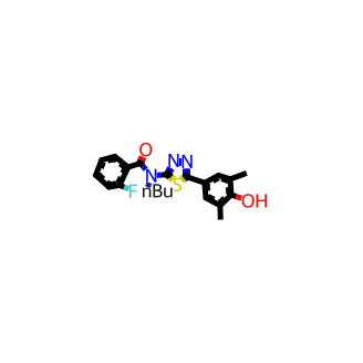 CCCCN(C(=O)c1ccccc1F)c1nnc(-c2cc(C)c(O)c(C)c2)s1